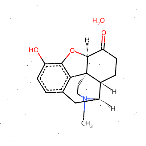 CN1CC[C@]23c4c5ccc(O)c4O[C@H]2C(=O)CC[C@H]3[C@H]1C5.O